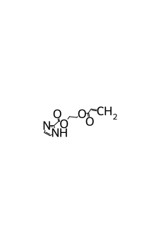 C=CC(=O)OCCOC(=O)c1ncc[nH]1